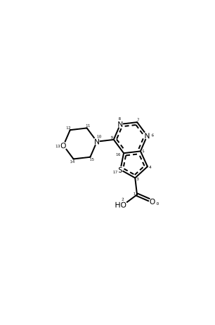 O=C(O)c1cc2ncnc(N3CCOCC3)c2s1